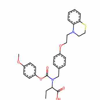 CCC(C(=O)O)N(Cc1ccc(OCCN2CCSc3ccccc32)cc1)C(=O)Oc1ccc(OC)cc1